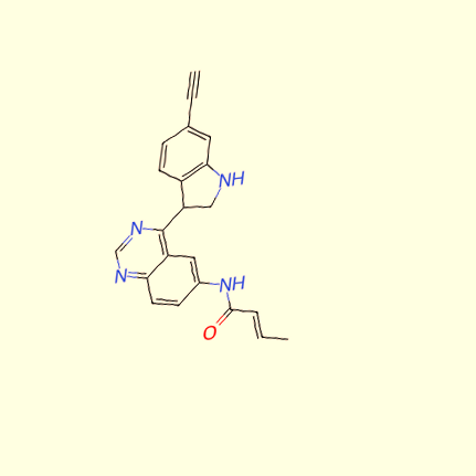 C#Cc1ccc2c(c1)NCC2c1ncnc2ccc(NC(=O)C=CC)cc12